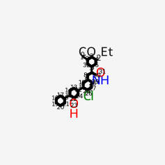 CCOC(=O)Cc1cccc(-c2cc3cc(-c4ccc(-c5ccccc5)c(O)c4)c(Cl)cc3[nH]c2=O)c1